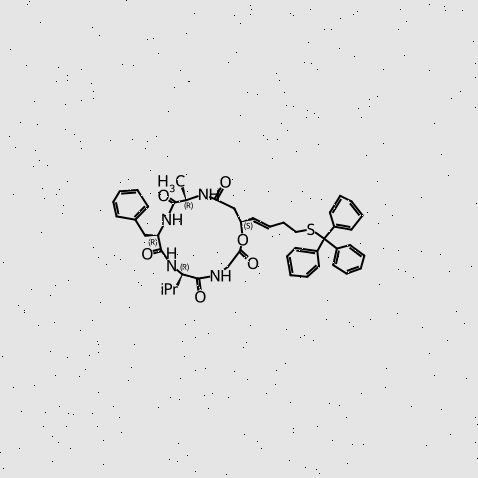 CC(C)[C@H]1NC(=O)[C@@H](Cc2ccccc2)NC(=O)[C@@H](C)NC(=O)C[C@@H](C=CCCSC(c2ccccc2)(c2ccccc2)c2ccccc2)OC(=O)CNC1=O